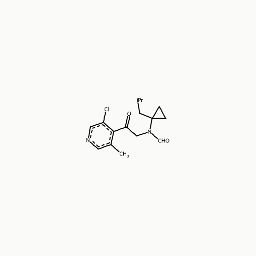 Cc1cncc(Cl)c1C(=O)CN(C=O)C1(CC(C)C)CC1